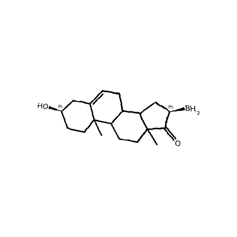 B[C@@H]1CC2C3CC=C4C[C@H](O)CCC4(C)C3CCC2(C)C1=O